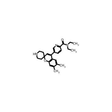 CCN(CC)C(=O)c1ccc(C2=CC3(CCNCC3)Oc3cc(C)c(C)cc32)cn1